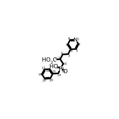 O=C(O)C(CCc1ccncc1)CP(=O)(O)Cc1ccccc1